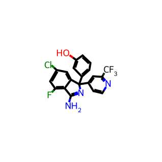 NC1=NC(c2cccc(O)c2)(c2ccnc(C(F)(F)F)c2)c2cc(Cl)cc(F)c21